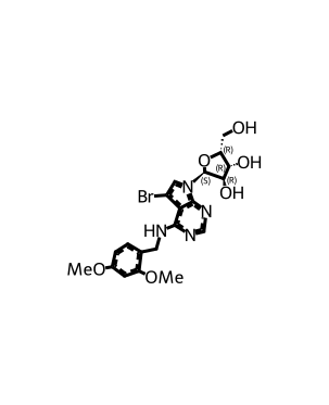 COc1ccc(CNc2ncnc3c2c(Br)cn3[C@H]2O[C@H](CO)[C@H](O)[C@H]2O)c(OC)c1